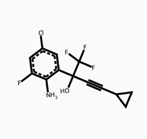 Nc1c(F)cc(Cl)cc1C(O)(C#CC1CC1)C(F)(F)F